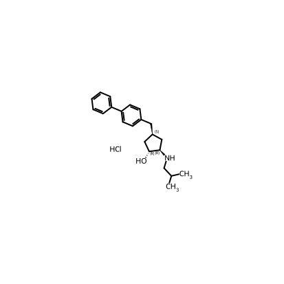 CC(C)CN[C@@H]1C[C@H](Cc2ccc(-c3ccccc3)cc2)C[C@H]1O.Cl